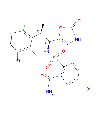 CCc1ccc(F)c([C@@H](C)[C@H](NS(=O)(=O)c2ccc(Br)cc2C(N)=O)c2n[nH]c(=O)o2)c1C